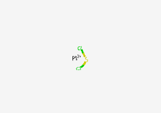 ClSCl.[Pt+2]